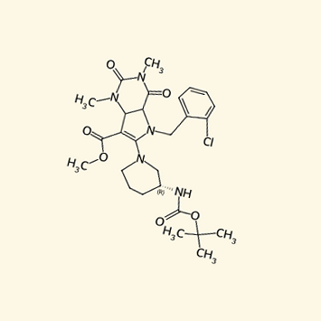 COC(=O)C1=C(N2CCC[C@@H](NC(=O)OC(C)(C)C)C2)N(Cc2ccccc2Cl)C2C(=O)N(C)C(=O)N(C)C12